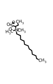 CCCCCCCCCCCC[N+](C)(C)C(CC)S(=O)(=O)[O-]